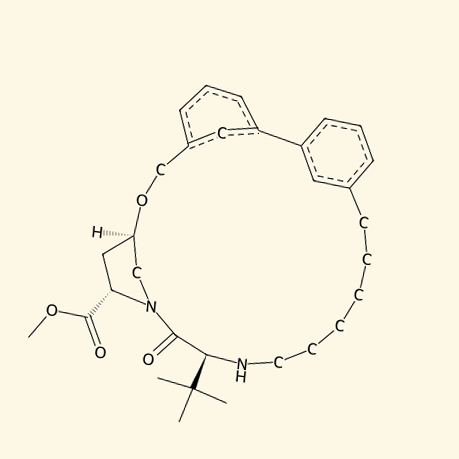 COC(=O)[C@@H]1C[C@@H]2CN1C(=O)[C@H](C(C)(C)C)NCCCCCCc1cccc(c1)-c1cccc(c1)CO2